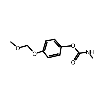 CNC(=O)Oc1ccc(OCOC)cc1